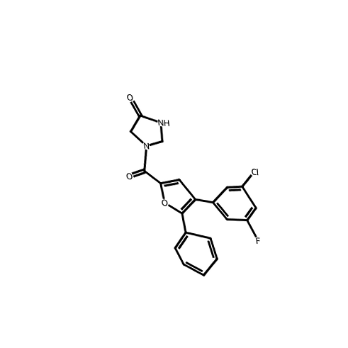 O=C1CN(C(=O)c2cc(-c3cc(F)cc(Cl)c3)c(-c3ccccc3)o2)CN1